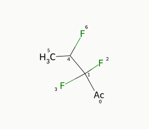 CC(=O)C(F)(F)C(C)F